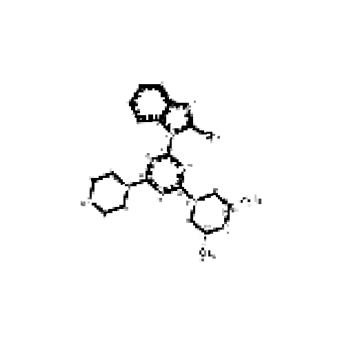 Cc1nc2ccccc2n1-c1nc(N2CCOCC2)nc(N2C[C@@H](C)O[C@@H](C)C2)n1